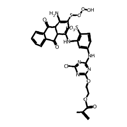 C=C(C)C(=O)OCCOc1nc(Cl)nc(Nc2ccc(S(=O)(=O)O)c(NC3=CC(SOOO)=C(N)C4C(=O)c5ccccc5C(=O)C34)c2)n1